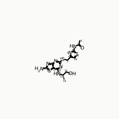 CC(=O)Nc1nc(CSc2nc(N[C@H](C)CO)c3sc(N)nc3n2)cs1